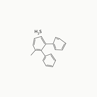 Cc1cccc(-c2ccccc2)c1-c1ccccc1.S